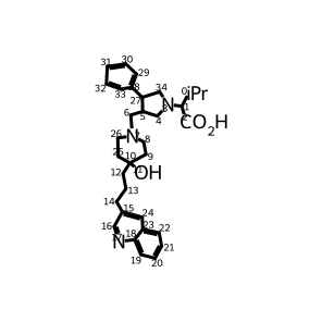 CC(C)C(C(=O)O)N1CC(CN2CCC(O)(CCCc3cnc4ccccc4c3)CC2)C(c2ccccc2)C1